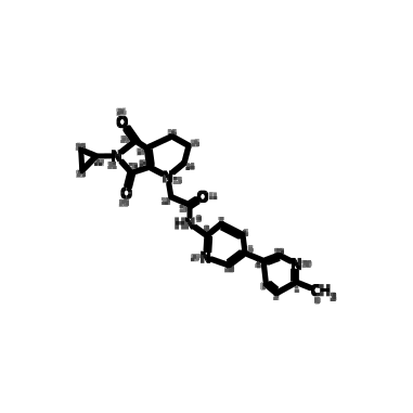 Cc1ccc(-c2ccc(NC(=O)CN3CCCC4=C3C(=O)N(C3CC3)C4=O)nc2)cn1